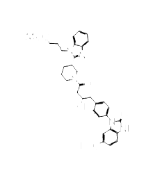 COCCCn1c([C@@H]2CCCN(C(=O)C[C@H](C)Cc3ccc(-n4c(=O)[nH]c5ccc(C)cc54)cc3)C2)nc2ccccc21